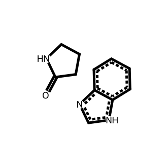 O=C1CCCN1.c1ccc2[nH]cnc2c1